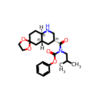 CC(C)CN(C(=O)Oc1ccccc1)C(=O)[C@H]1CN[C@@H]2CCC3(C[C@H]2C1)OCCO3